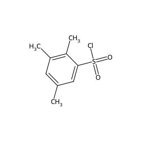 Cc1cc(C)c(C)c(S(=O)(=O)Cl)c1